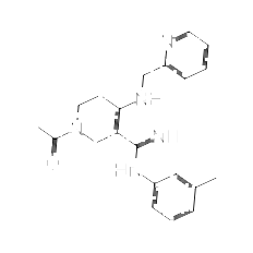 CC(=O)N1CCC(NCc2ccccn2)=C(C(=N)Nc2cccc(C)c2)C1